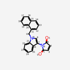 O=C1C=CC(=O)N1c1cn(Cc2cccc3ccccc23)c2ccccc12